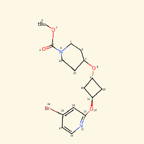 CC(C)(C)OC(=O)N1CCC(O[C@H]2C[C@H](Oc3cc(Br)ccn3)C2)CC1